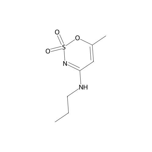 CCCNC1=NS(=O)(=O)OC(C)=C1